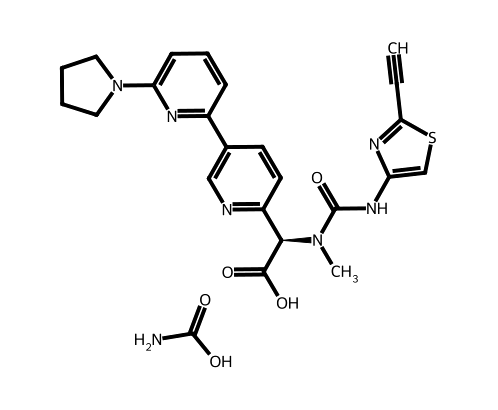 C#Cc1nc(NC(=O)N(C)[C@@H](C(=O)O)c2ccc(-c3cccc(N4CCCC4)n3)cn2)cs1.NC(=O)O